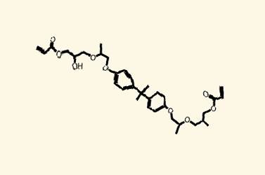 C=CC(=O)OCC(C)COC(C)COC1=CC=C(C(C)(C)c2ccc(OCC(C)OCC(O)COC(=O)C=C)cc2)CC1